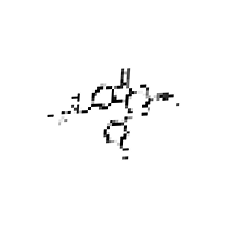 CNCc1ccc2[nH]c(OC(N)=O)c(Sc3cccc(Cl)c3)c2c1